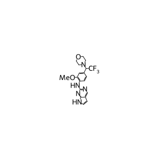 COc1cc(C(N2CCOCC2)C(F)(F)F)ccc1Nc1ncc2cc[nH]c2n1